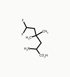 CC(C)(CC(F)F)CC(N)C(=O)O